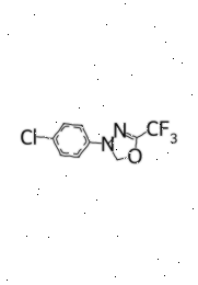 FC(F)(F)C1=NN(c2ccc(Cl)cc2)CO1